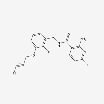 CC/C=C/COc1cccc(CNC(=O)c2ccc(F)nc2N)c1F